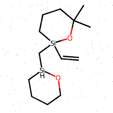 C=C[Si]1(C[SiH]2CCCCO2)CCCC(C)(C)O1